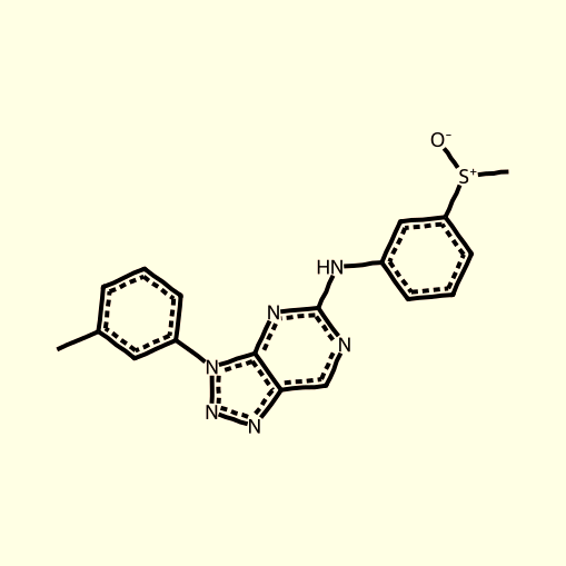 Cc1cccc(-n2nnc3cnc(Nc4cccc([S+](C)[O-])c4)nc32)c1